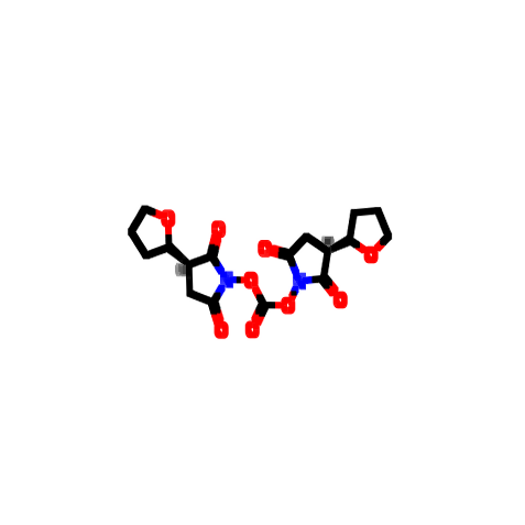 O=C(ON1C(=O)C[C@@H](C2CCCO2)C1=O)ON1C(=O)C[C@@H](C2CCCO2)C1=O